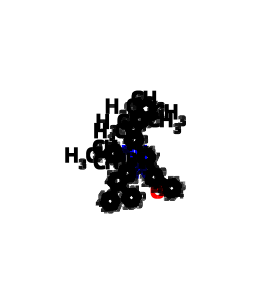 CC(C)(C)c1ccc(Nc2cc3c(cc2-c2ccc4c5cc6c(cc5n5c4c2Bc2cc4c(cc2-5)C(c2ccccc2)=C(c2ccccc2)CC4)oc2ccccc26)-c2cc4c(cc2C3(C)C)C(C)(C)CCC4(C)C)cc1